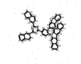 c1ccc2cc(-c3nc(-c4ccc(-n5c6cc7ccccc7cc6c6cc7ccccc7cc65)c(-c5ccc6c(c5)oc5ccccc56)c4)nc(-c4ccc5ccccc5c4)n3)ccc2c1